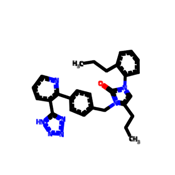 CCCc1ccccc1-n1cc(CCC)n(Cc2ccc(-c3ncccc3-c3nnn[nH]3)cc2)c1=O